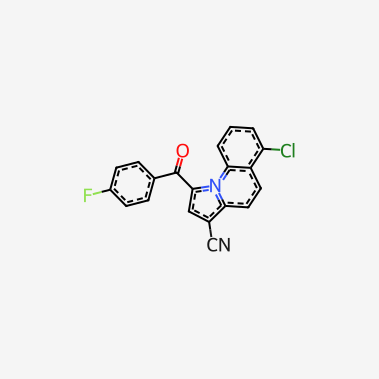 N#Cc1cc(C(=O)c2ccc(F)cc2)n2c1ccc1c(Cl)cccc12